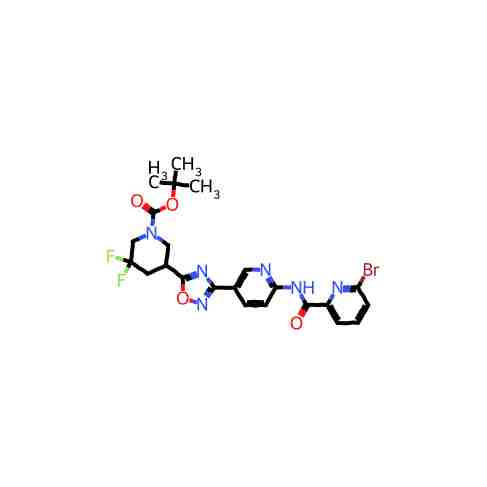 CC(C)(C)OC(=O)N1CC(c2nc(-c3ccc(NC(=O)c4cccc(Br)n4)nc3)no2)CC(F)(F)C1